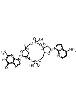 Nc1nc2c(ncn2[C@@H]2O[C@@H]3COP(=O)(S)O[C@H]4C[C@H](n5ccc6c(N)ccnc65)OC4COP(=O)(S)O[C@@H]2C3)c(=O)[nH]1